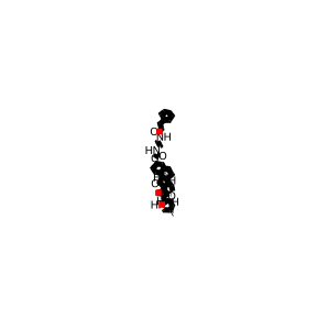 CC1=C2C(=O)[C@H]3[C@@H](CC=C4C[C@@H](OC(=O)NCCNC(=O)CCc5ccccc5)CC[C@@]43C)[C@@H]2CC[C@]12O[C@@H]1C[C@H](C)CN[C@H]1[C@H]2C